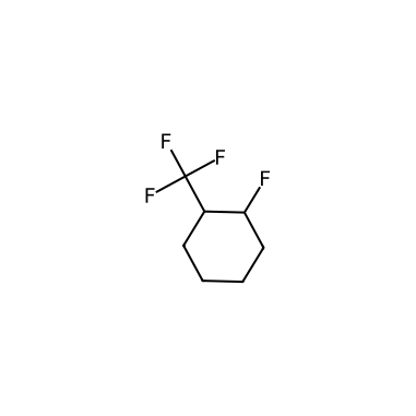 FC1CCCCC1C(F)(F)F